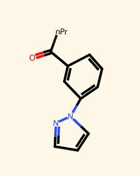 CCCC(=O)c1cccc(-n2cccn2)c1